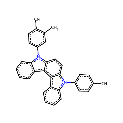 Cc1cc(-n2c3ccccc3c3c4c5ccccc5n(-c5ccc(C#N)cc5)c4ccc32)ccc1C#N